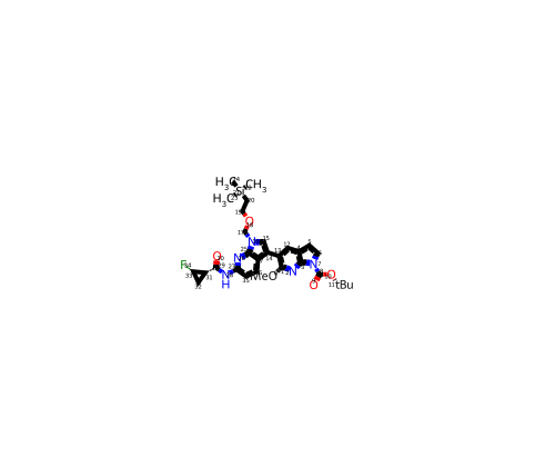 COc1nc2c(ccn2C(=O)OC(C)(C)C)cc1-c1cn(COCC[Si](C)(C)C)c2nc(NC(=O)[C@@H]3C[C@@H]3F)ccc12